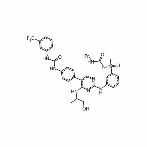 CC(C)NC(=O)N=S(C)(=O)c1cccc(Nc2ncc(-c3ccc(NC(=O)Nc4cccc(C(F)(F)F)c4)cc3)c(NC(C)CO)n2)c1